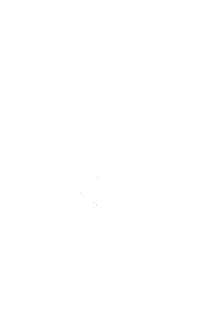 O=Cc1cc(F)cc(-n2cnnc2)c1